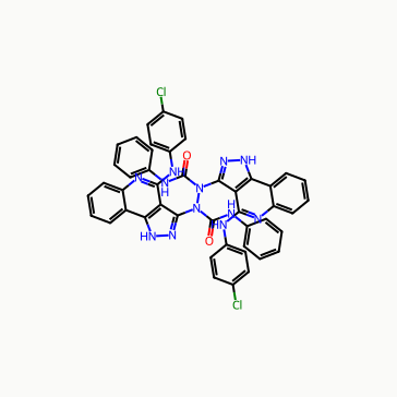 O=C(Nc1ccccc1)N(c1n[nH]c2c1c(Nc1ccc(Cl)cc1)nc1ccccc12)N(C(=O)Nc1ccccc1)c1n[nH]c2c1c(Nc1ccc(Cl)cc1)nc1ccccc12